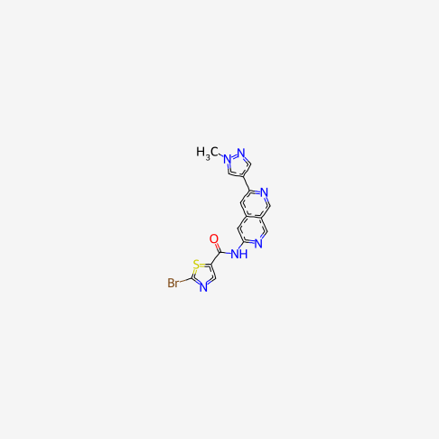 Cn1cc(-c2cc3cc(NC(=O)c4cnc(Br)s4)ncc3cn2)cn1